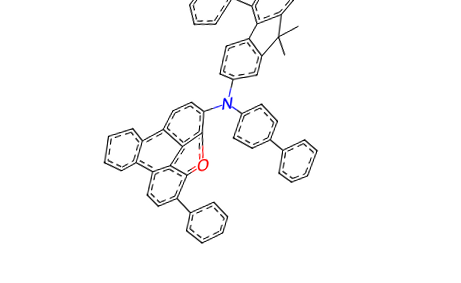 CC1(C)c2cc(N(c3ccc(-c4ccccc4)cc3)c3ccc4c5ccccc5c5ccc(-c6ccccc6)c6oc3c4c65)ccc2-c2c(-c3ccccc3)cccc21